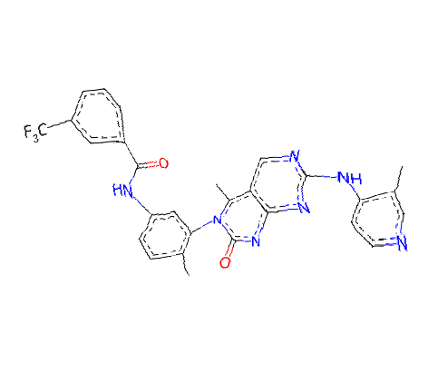 Cc1cnccc1Nc1ncc2c(C)n(-c3cc(NC(=O)c4cccc(C(F)(F)F)c4)ccc3C)c(=O)nc2n1